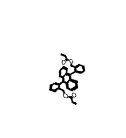 C=CC(=O)OCc1ccccc1-c1c2ccccc2c(-c2ccccc2COC(=O)C=C)c2ccccc12